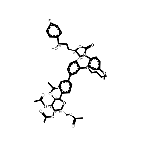 CCCCOc1cc(-c2ccc(C3O[C@H](COC(C)=O)[C@@H](OC(C)=O)[C@H](OC(C)=O)[C@H]3OC(C)=O)cc2)ccc1[C@@H]1[C@@H](CC[C@H](O)c2ccc(F)cc2)OC(=O)N1c1ccc(OC)cc1